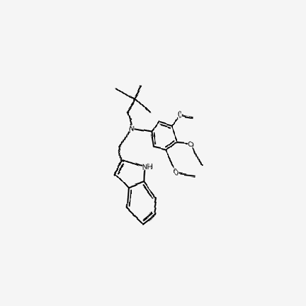 COc1cc(N(Cc2cc3ccccc3[nH]2)CC(C)(C)C)cc(OC)c1OC